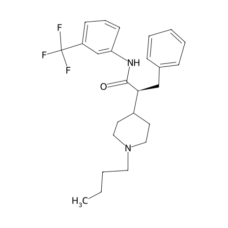 CCCCN1CCC([C@H](Cc2ccccc2)C(=O)Nc2cccc(C(F)(F)F)c2)CC1